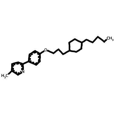 CCCCCC1CCC(CCCOc2ccc(-c3ccc(C)cn3)cc2)CC1